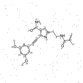 C=C(C)C(=O)NCCn1cc(C(N)=O)c(C#Cc2cc(OC)cc(OC)c2)n1